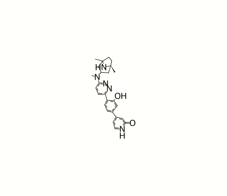 CN(c1ccc(-c2ccc(-c3cc[nH]c(=O)c3)cc2O)nn1)[C@H]1CC2(C)CC[C@](C)(C1)N2